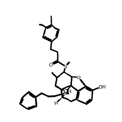 Cc1ccc(CCC(=O)N(C)C2C(C)C[C@@]3(O)[C@H]4Cc5ccc(O)c6c5[C@@]3(CCN4CCc3ccccc3)C2O6)cc1C